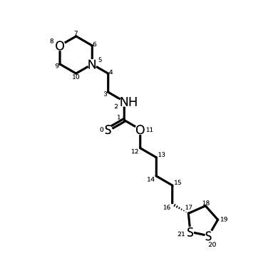 S=C(NCCN1CCOCC1)OCCCCC[C@@H]1CCSS1